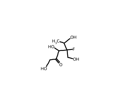 CC(O)C(F)(CO)C(O)C(=O)CO